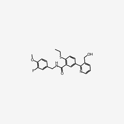 CCSc1ccc(-c2ncccc2CO)cc1C(=O)NCc1ccc(OC)c(F)c1